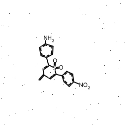 C=C1C=C(c2ccc(N)cc2)S(=O)(=O)C(c2ccc([N+](=O)[O-])cc2)=C1